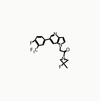 CC1(F)CN(C(=O)Cn2ccc3ncc(-c4ccc(F)c(C(F)(F)F)c4)cc32)C1